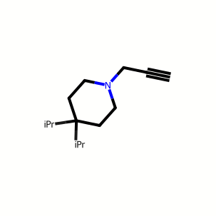 C#CCN1CCC(C(C)C)(C(C)C)CC1